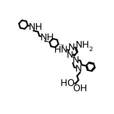 Nc1cc(N2CCN(CCCC(O)O)C(c3ccccc3)C2)nc(NC[C@H]2CC[C@H](CNCCCNC3CCCCC3)CC2)n1